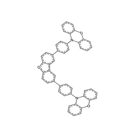 c1ccc2c(c1)Oc1ccccc1N2c1ccc(-c2ccc3oc4ccc(-c5ccc(N6c7ccccc7Oc7ccccc76)cc5)cc4c3c2)cc1